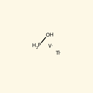 OP.[Tl].[V]